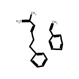 C=C(C)C=CCCc1ccccc1.C=Cc1ccccc1